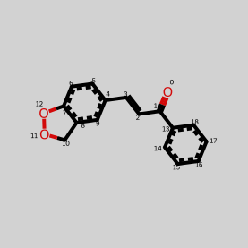 O=C(C=Cc1ccc2c(c1)COO2)c1ccccc1